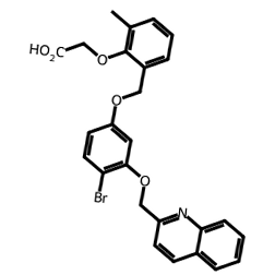 Cc1cccc(COc2ccc(Br)c(OCc3ccc4ccccc4n3)c2)c1OCC(=O)O